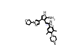 Cc1cc(/C(N)=C/c2c(-c3cnn(C4CCOC4)c3)c[nH]c2N)cc(C)c1N1CCN(C)CC1